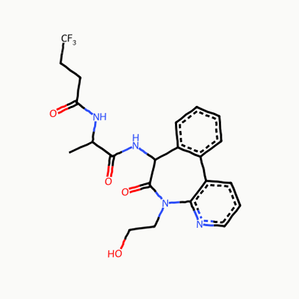 CC(NC(=O)CCC(F)(F)F)C(=O)NC1C(=O)N(CCO)c2ncccc2-c2ccccc21